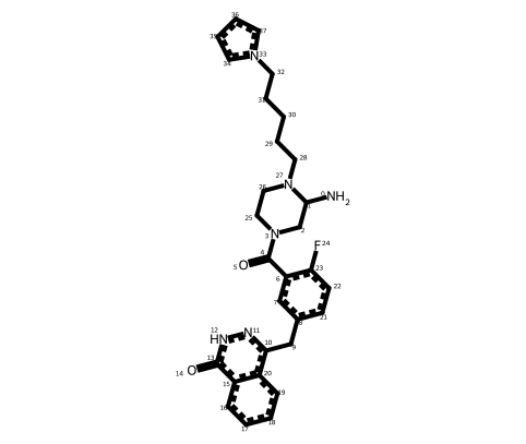 NC1CN(C(=O)c2cc(Cc3n[nH]c(=O)c4ccccc34)ccc2F)CCN1CCCCCn1cccc1